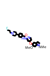 CNn1ccc2cc(Oc3ccnc(NC(=O)c4ccc(C5CCN(CCCF)CC5)cc4)c3)c(OC)cc21